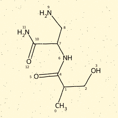 CC(CO)C(=O)NC(CN)C(N)=O